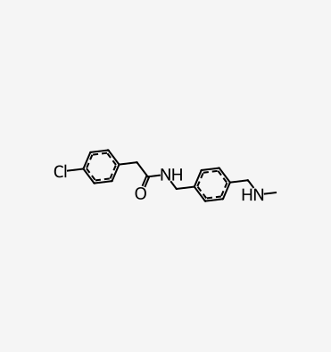 CNCc1ccc(CNC(=O)Cc2ccc(Cl)cc2)cc1